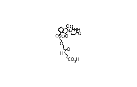 O=C(O)CCNC(=O)CCOCCS(=O)(=O)c1cccc2c1C(=O)N(C1CCC(=O)NC1=O)C2=O